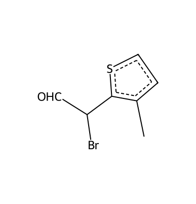 Cc1ccsc1C(Br)C=O